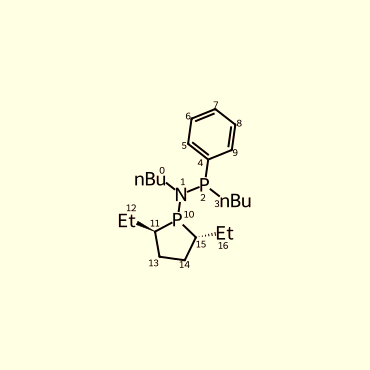 CCCCN(P(CCCC)c1ccccc1)P1[C@H](CC)CC[C@H]1CC